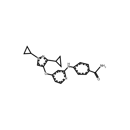 NC(=O)c1ccc(Nc2cc(Oc3cn(C4CC4)nc3C3CC3)ccn2)cc1